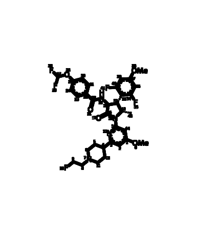 COc1cc(C2CCN(CCF)CC2)nc(N2C(=O)C(NC(=O)c3ccc(OC(F)F)cc3)[C@H](c3c(F)cc(OC)cc3F)[C@@H]2C)c1